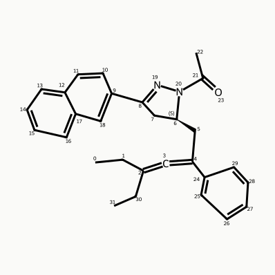 CCC(=C=C(C[C@H]1CC(c2ccc3ccccc3c2)=NN1C(C)=O)c1ccccc1)CC